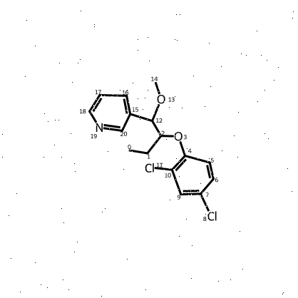 CCC(Oc1ccc(Cl)cc1Cl)C(OC)c1cccnc1